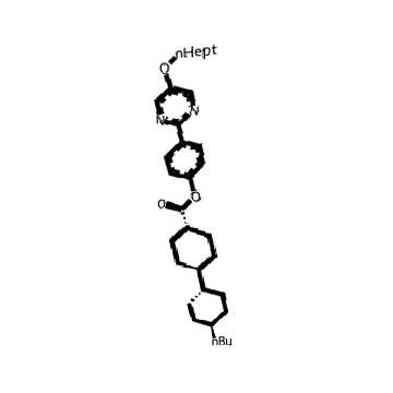 CCCCCCCOc1cnc(-c2ccc(OC(=O)[C@H]3CC[C@H]([C@H]4CC[C@H](CCCC)CC4)CC3)cc2)nc1